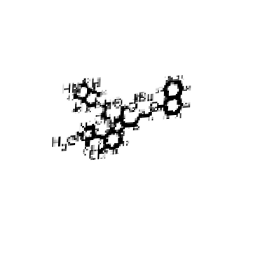 Cc1nn(C)c(C)c1-c1c(Cl)ccc2c(CCCOc3cccc4ccccc34)c(C(O)OC(C)(C)C)n(CCN3C[C@H]4CNC[C@H]4C3)c12